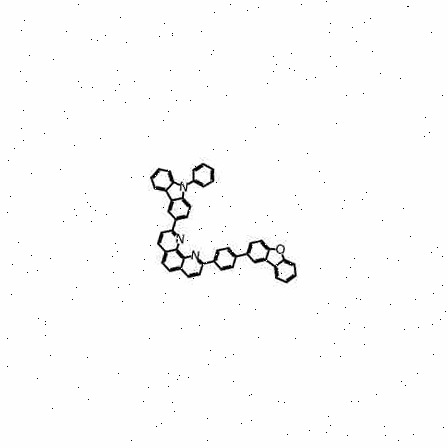 c1ccc(-n2c3ccccc3c3cc(-c4ccc5ccc6ccc(-c7ccc(-c8ccc9oc%10ccccc%10c9c8)cc7)nc6c5n4)ccc32)cc1